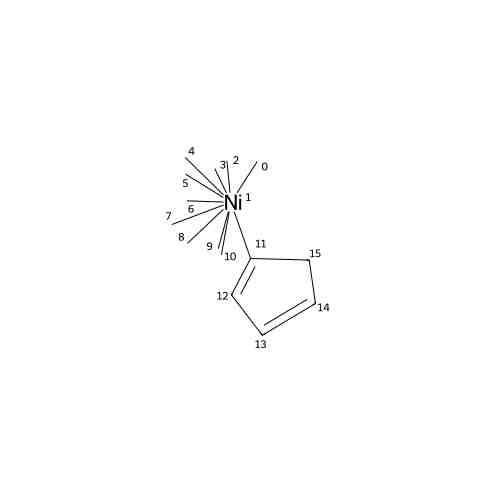 [CH3][Ni]([CH3])([CH3])([CH3])([CH3])([CH3])([CH3])([CH3])([CH3])([CH3])[C]1=CC=CC1